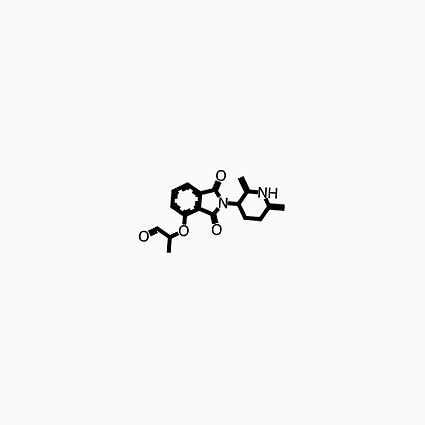 C=C1CCC(N2C(=O)c3cccc(OC(C)C=O)c3C2=O)C(=C)N1